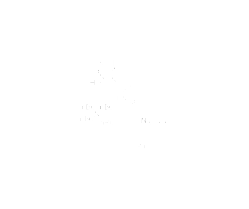 CC(C)(C)CCCN(CCONC(=O)[C@@H]1CC[C@@H]2CN1C(=O)N2OS(=O)(=O)O)C(=O)[O-].CCCC[N+](CCCC)(CCCC)CCCC